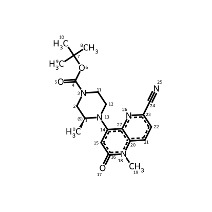 C[C@H]1CN(C(=O)OC(C)(C)C)CCN1c1cc(=O)n(C)c2ccc(C#N)nc12